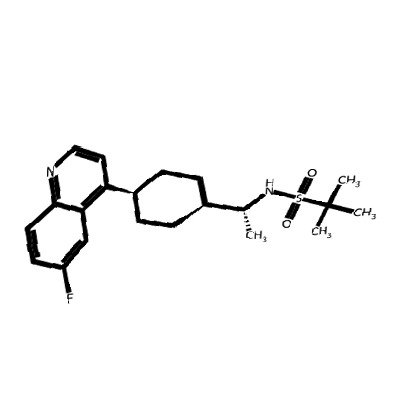 C[C@@H](NS(=O)(=O)C(C)(C)C)[C@H]1CC[C@@H](c2ccnc3ccc(F)cc32)CC1